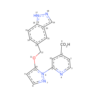 O=C(O)c1ccnc(-n2nccc2OCc2ccc3[nH]ncc3c2)c1